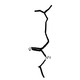 CCNC(=O)CCCC(C)C